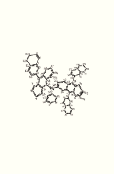 C1=Cc2cc(-c3c4ccccc4c(N(c4ccccc4)c4ccc5c(-c6ccc7ccccc7c6)c6ccccc6c(-c6ccc7ccccc7c6)c5c4)c4ccccc34)ccc2CC1